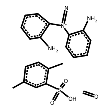 C=O.Cc1ccc(C)c(S(=O)(=O)O)c1.[N-]=[N+](c1ccccc1N)c1ccccc1N